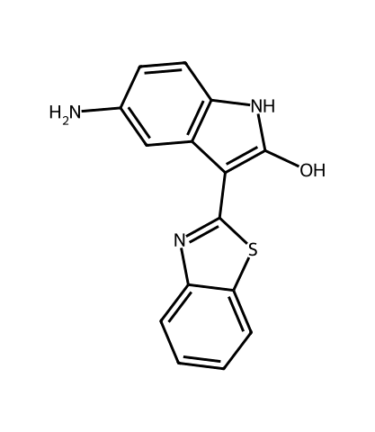 Nc1ccc2[nH]c(O)c(-c3nc4ccccc4s3)c2c1